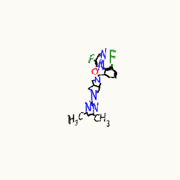 Cc1cc(C)nc(N2CC3CN(C(=O)c4cccc(F)c4-n4cc(F)cn4)CC3C2)n1